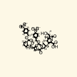 C[C@@H](O)[C@H]1C(=O)N2C(C(=O)O)=C(S[C@H]3C[C@@H](C(=O)N4CC(NC(=O)[C@@H]5CCCN5C(=O)OCc5ccc([N+](=O)[O-])cc5)C4)N(C(=O)OCc4ccc([N+](=O)[O-])cc4)C3)[C@H](C)[C@H]12